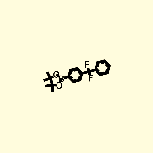 CC1(C)OB(c2ccc(C(F)(F)c3ccccc3)cc2)OC1(C)C